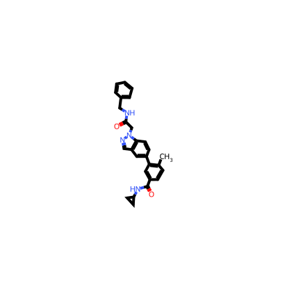 Cc1ccc(C(=O)NC2CC2)cc1-c1ccc2c(cnn2CC(=O)NCc2ccccc2)c1